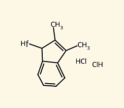 CC1=C(C)[CH]([Hf])c2ccccc21.Cl.Cl